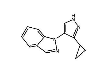 c1ccc2c(c1)cnn2-c1c[nH]nc1C1CC1